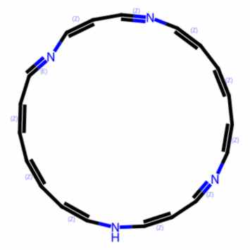 C1=C\C=C/N/C=C\C=N/C=C\C=C/C=C\N=C/C=C\N=C\C=C/1